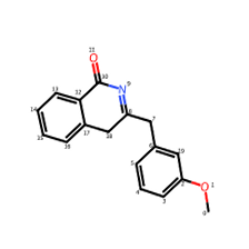 COc1cccc(CC2=NC(=O)c3ccccc3C2)c1